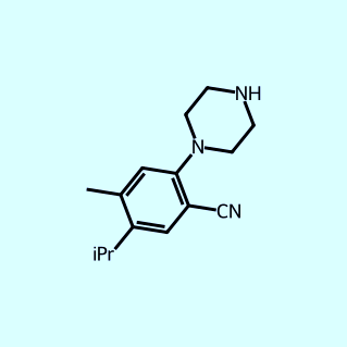 Cc1cc(N2CCNCC2)c(C#N)cc1C(C)C